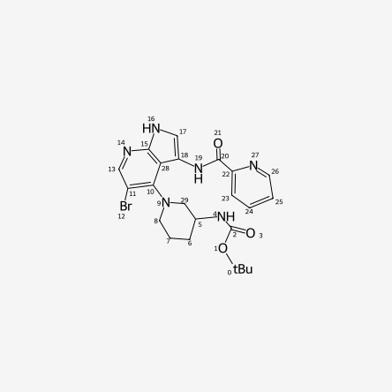 CC(C)(C)OC(=O)NC1CCCN(c2c(Br)cnc3[nH]cc(NC(=O)c4ccccn4)c23)C1